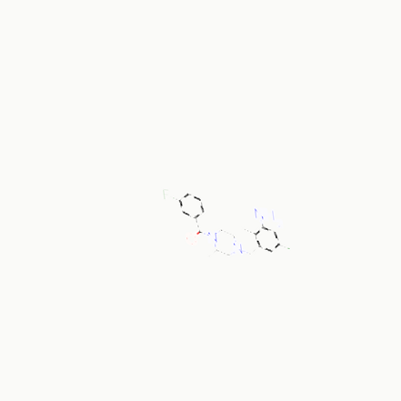 Cc1c(N)cc(F)cc1CN1CCN(C(=O)c2cccc(F)c2)C(C)C1